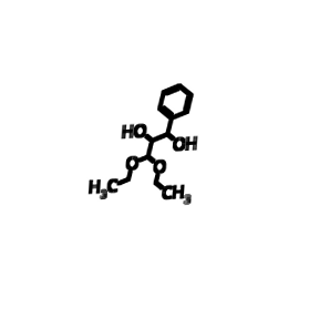 CCOC(OCC)C(O)C(O)c1ccccc1